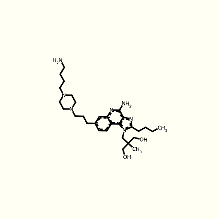 CCCCc1nc2c(N)nc3cc(CCCN4CCN(CCCCN)CC4)ccc3c2n1CC(C)(CO)CO